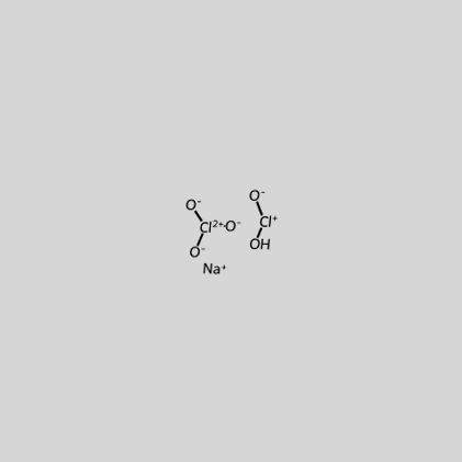 [Na+].[O-][Cl+2]([O-])[O-].[O-][Cl+]O